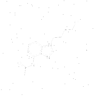 CC(=O)Nc1cccc2c1ncn2CCCCCl